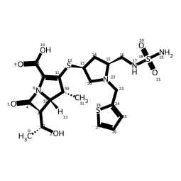 C[C@@H](O)[C@H]1C(=O)N2C(C(=O)O)=C(S[C@H]3C[C@@H](CNS(N)(=O)=O)N(Cc4cccs4)C3)[C@H](C)[C@H]12